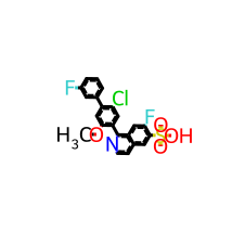 COc1cc(-c2cccc(F)c2)c(Cl)cc1-c1nccc2cc(S(=O)(=O)O)c(F)cc12